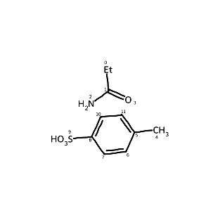 CCC(N)=O.Cc1ccc(S(=O)(=O)O)cc1